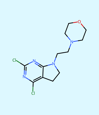 Clc1nc(Cl)c2c(n1)N(CCN1CCOCC1)CC2